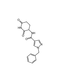 O=C1CCC(NC(=O)c2cnn(Cc3ccccc3)c2)C(=O)N1